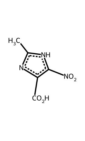 Cc1nc(C(=O)O)c([N+](=O)[O-])[nH]1